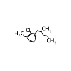 CCC[C@H](C)Cc1cccc(CC)c1Cl